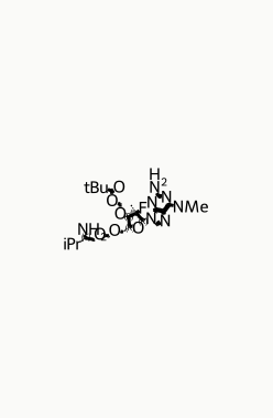 CNc1nc(N)nc2c1ncn2[C@@H]1O[C@H](COCOC[C@@H](N)C(C)C)[C@@H](OCOC(=O)C(C)(C)C)[C@@]1(C)F